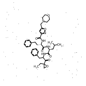 CCC1(C(=O)C(Cc2ccccc2)NC(=O)[C@H](CC(C)C)NC(=O)[C@H](CCc2ccccc2)NC(=O)c2cc(CN3CCOCC3)on2)CO1